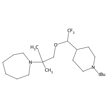 CC(C)(C)N1CCC(C(OCC(C)(C)N2CCCCCC2)C(F)(F)F)CC1